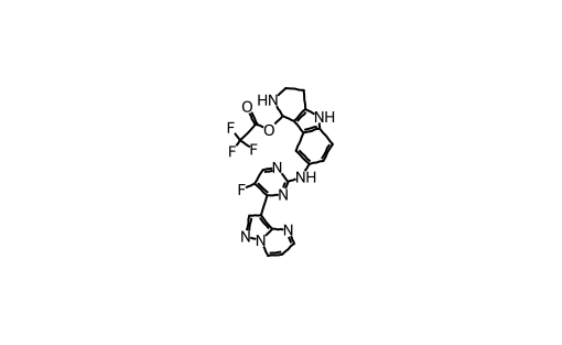 O=C(OC1NCCc2[nH]c3ccc(Nc4ncc(F)c(-c5cnn6cccnc56)n4)cc3c21)C(F)(F)F